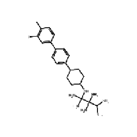 NC(N)C(N)(N)C(N)(N)NC1CCC(c2ccc(-c3ccc(I)c(F)c3)cc2)CC1